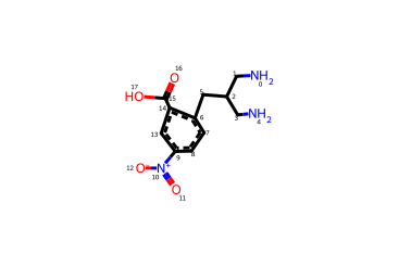 NCC(CN)Cc1ccc([N+](=O)[O-])cc1C(=O)O